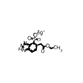 CCOC(=O)Cc1ccc2[nH]nnc2c1S(=O)(=O)[O-].[Ag+]